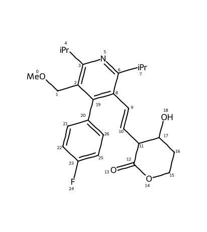 COCc1c(C(C)C)nc(C(C)C)c(C=CC2C(=O)OCCC2O)c1-c1ccc(F)cc1